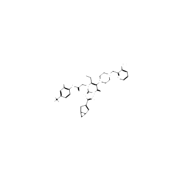 CCc1c(N2CCN(Cc3ncccc3O)CC2)c(=O)n2nc(C3=CC4CC4C3)nc2n1CC(=O)Nc1ccc(C(F)(F)F)cc1Cl